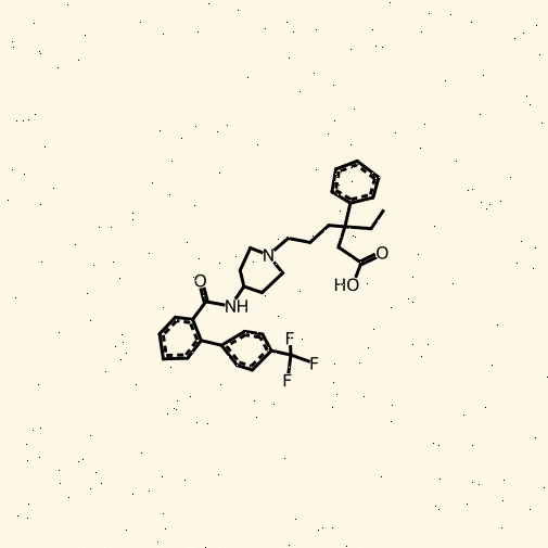 CCC(CCCN1CCC(NC(=O)c2ccccc2-c2ccc(C(F)(F)F)cc2)CC1)(CC(=O)O)c1ccccc1